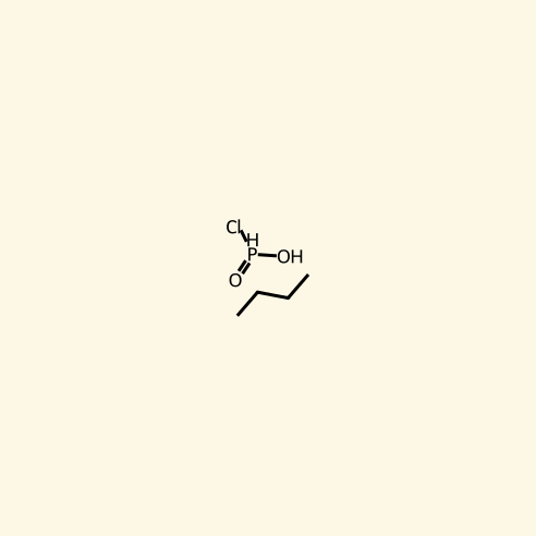 CCCC.O=[PH](O)Cl